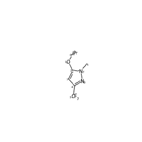 CC(C)Oc1cc(C(F)(F)F)nn1C